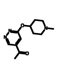 CC(=O)c1cnnc(OC2CCN(C)CC2)c1